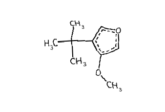 COc1cocc1C(C)(C)C